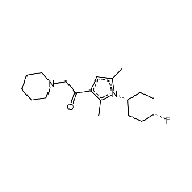 Cc1cc(C(=O)CN2CCCCC2)c(C)n1[C@H]1CC[C@@H](F)CC1